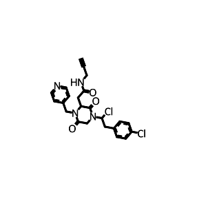 C#CCNC(=O)CC1C(=O)N(C(Cl)Cc2ccc(Cl)cc2)CC(=O)N1Cc1ccncc1